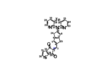 O=C1/C(=C\C2=CC3=C(C=C(N4c5ncccc5[Te]c5cccnc54)C3)C2)C(=O)c2sccc21